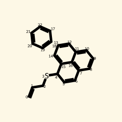 C=CCSC1C=Cc2cccc3cccc1c23.c1ccccc1